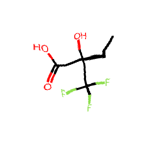 CCC(O)(C(=O)O)C(F)(F)F